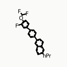 CCCc1ccc2cc(-c3ccc(-c4ccc(OC(F)F)c(F)c4)cc3)ccc2c1